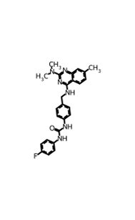 Cc1ccc2c(NCc3ccc(NC(=O)Nc4ccc(F)cc4)cc3)nc(N(C)C)nc2c1